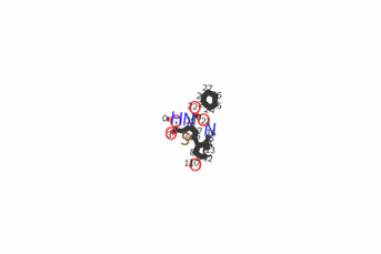 COC(=O)c1sc(-c2cc(OC)ccc2C#N)cc1NC(=O)Oc1ccccc1